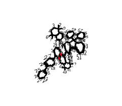 CC1(C)CCC(C)(C)c2cc(N(c3ccc(-c4ccc(-c5ccccc5)cc4)cc3)c3cc4c(cc3-c3cccc5c3C(C)(C)CCC5(C)C)-c3ccccc3C4(c3ccccc3)c3ccccc3)ccc21